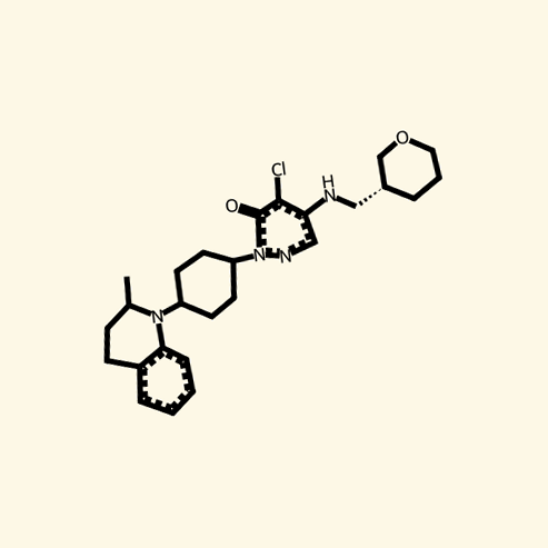 CC1CCc2ccccc2N1C1CCC(n2ncc(NC[C@H]3CCCOC3)c(Cl)c2=O)CC1